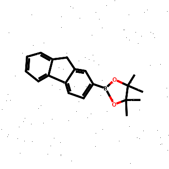 CC1(C)OB(c2ccc3c(c2)Cc2ccccc2-3)OC1(C)C